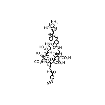 [N-]=[N+]=Nc1ccc(C(=O)NCCCC[C@H](NC(=O)[C@H](CC(=O)O)NC(=O)[C@H](CC(=O)O)NC(=O)[C@H](CCCCNC(=O)c2ccc(N=[N+]=[N-])cc2)NC(=O)[C@@H](CC(=O)O)NC(=O)[C@@H](CC(=O)O)NC(=O)CC[C@H](NC(=O)c2ccc(NCc3cnc4nc(N)nc(O)c4n3)cc2)C(=O)O)C(=O)O)cc1